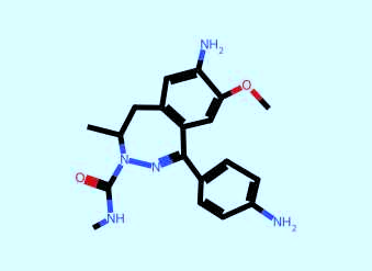 CNC(=O)N1N=C(c2ccc(N)cc2)c2cc(OC)c(N)cc2CC1C